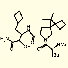 CN[C@H](C(=O)N1CC2(C[C@H]1C(=O)NC(CC1CCC1)C(O)C(N)=O)C(C)(C)C21CCC1)C(C)(C)C